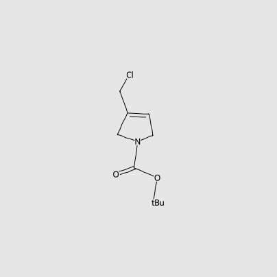 CC(C)(C)OC(=O)N1CC=C(CCl)C1